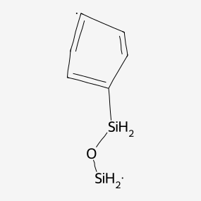 [SiH2]O[SiH2]c1cc[c]cc1